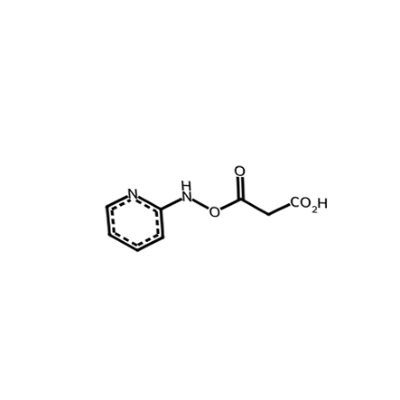 O=C(O)CC(=O)ONc1ccccn1